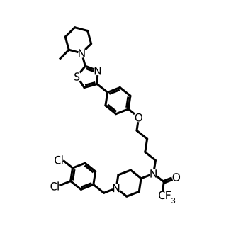 CC1CCCCN1c1nc(-c2ccc(OCCCCN(C(=O)C(F)(F)F)C3CCN(Cc4ccc(Cl)c(Cl)c4)CC3)cc2)cs1